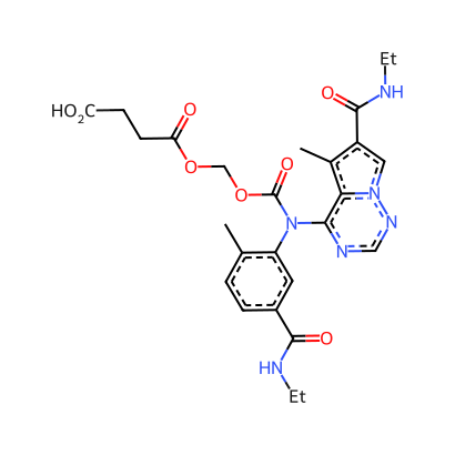 CCNC(=O)c1ccc(C)c(N(C(=O)OCOC(=O)CCC(=O)O)c2ncnn3cc(C(=O)NCC)c(C)c23)c1